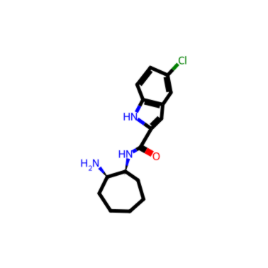 N[C@@H]1CCCCC[C@@H]1NC(=O)c1cc2cc(Cl)ccc2[nH]1